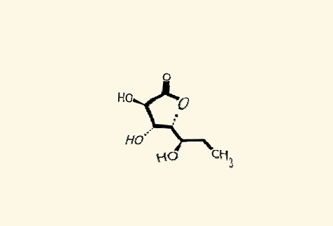 CC[C@@H](O)[C@H]1OC(=O)[C@H](O)[C@H]1O